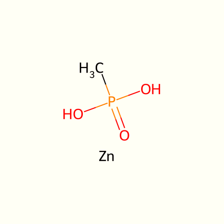 CP(=O)(O)O.[Zn]